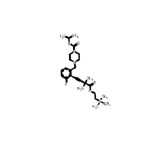 CC(C)(C#Cc1c(F)cccc1CN1CCN(C(=O)OC(C(F)(F)F)C(F)(F)F)CC1)C(=O)OCCS(C)(C)C